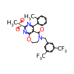 Cc1ccccc1-c1nc(S(C)(=O)=O)nc2c1C(=O)N(Cc1cc(C(F)(F)F)cc(C(F)(F)F)c1)CCO2